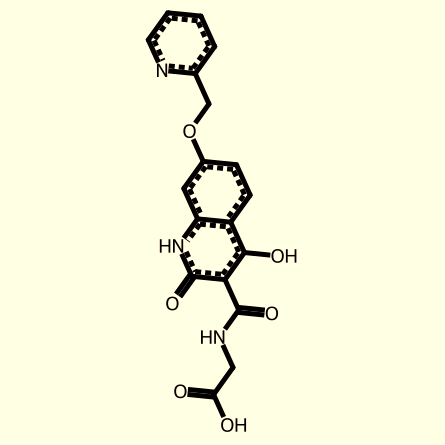 O=C(O)CNC(=O)c1c(O)c2ccc(OCc3ccccn3)cc2[nH]c1=O